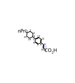 CCCC1CCC(c2ccc(/C=C/C(=O)O)cc2)CC1